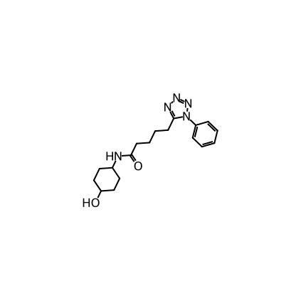 O=C(CCCCc1nnnn1-c1ccccc1)NC1CCC(O)CC1